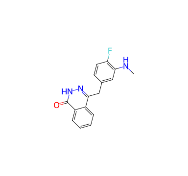 CNc1cc(Cc2n[nH]c(=O)c3ccccc23)ccc1F